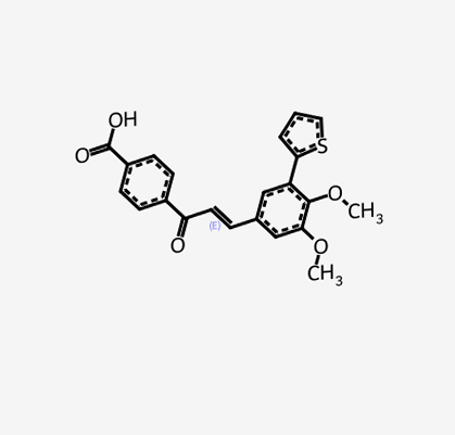 COc1cc(/C=C/C(=O)c2ccc(C(=O)O)cc2)cc(-c2cccs2)c1OC